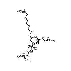 CCCCCCCCCCCCCCCCOC[C@H](COP(=O)([O-])OCC[N+](C)(C)C)OC(=O)CCCCCCCCCCCC